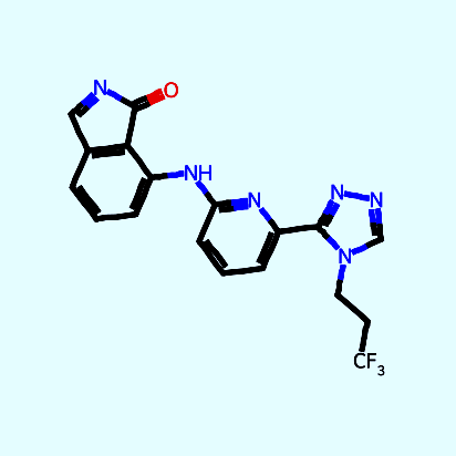 O=C1N=Cc2cccc(Nc3cccc(-c4nncn4CCC(F)(F)F)n3)c21